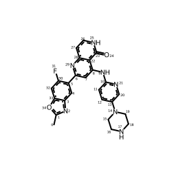 Cc1nc2cc(-c3cc(Nc4ccc(N5CCNCC5)cn4)c4c(=O)[nH]ccc4n3)c(F)cc2o1